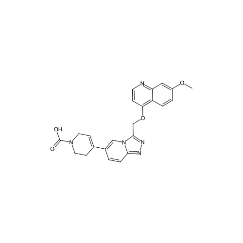 COc1ccc2c(OCc3nnc4ccc(C5=CCN(C(=O)O)CC5)cn34)ccnc2c1